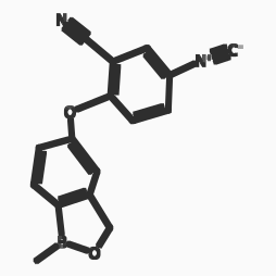 [C-]#[N+]c1ccc(Oc2ccc3c(c2)COB3C)c(C#N)c1